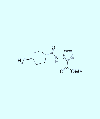 COC(=O)c1sccc1NC(=O)[C@H]1CC[C@H](C)CC1